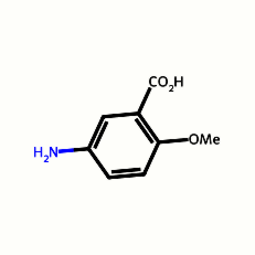 COc1ccc(N)cc1C(=O)O